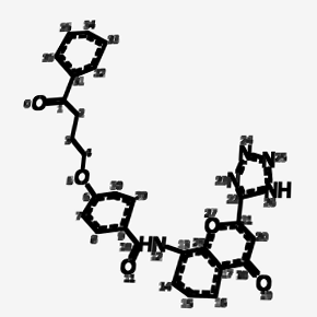 O=C(CCCOc1ccc(C(=O)Nc2cccc3c(=O)cc(-c4nnn[nH]4)oc23)cc1)c1ccccc1